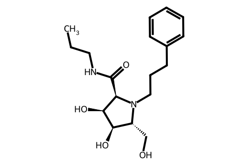 CCCNC(=O)[C@@H]1[C@H](O)[C@H](O)[C@@H](CO)N1CCCc1ccccc1